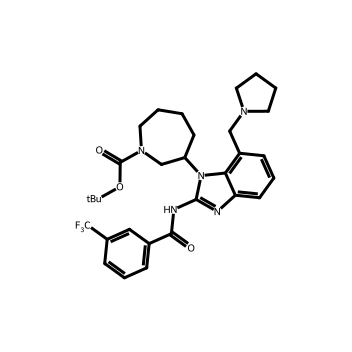 CC(C)(C)OC(=O)N1CCCCC(n2c(NC(=O)c3cccc(C(F)(F)F)c3)nc3cccc(CN4CCCC4)c32)C1